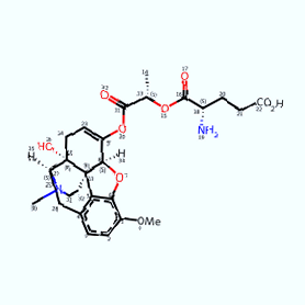 COc1ccc2c3c1O[C@@H]1C(OC(=O)[C@H](C)OC(=O)[C@@H](N)CCC(=O)O)=CC[C@]4(O)[C@H](C2)N(C)CC[C@@]314